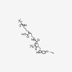 C=CCOc1ccc2[nH]cc(CC(COC(=O)NCCCN(CCCCNC(=O)OC(C)(C)C)C(=O)O)NC(=O)OC(C)(C)C)c2c1